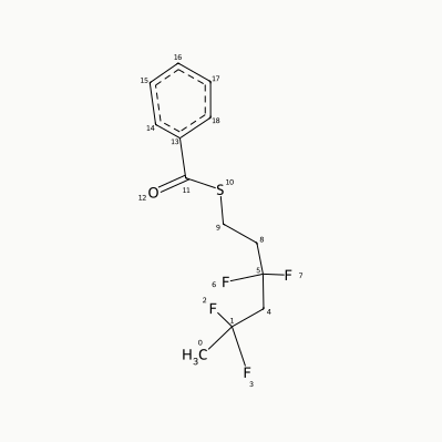 CC(F)(F)CC(F)(F)CCSC(=O)c1ccccc1